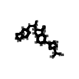 CN(Cc1ccc2nccn2c1)N1Cc2ccc(-c3nnc(C(F)F)o3)cc2C1=O